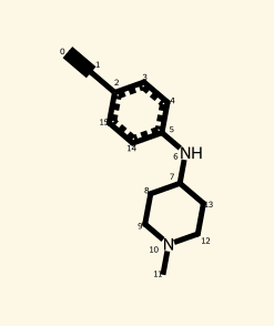 [C]#Cc1ccc(NC2CCN(C)CC2)cc1